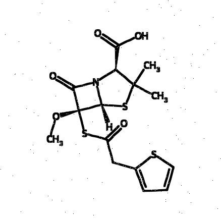 CO[C@@]1(SC(=O)Cc2cccs2)C(=O)N2[C@@H](C(=O)O)C(C)(C)S[C@@H]21